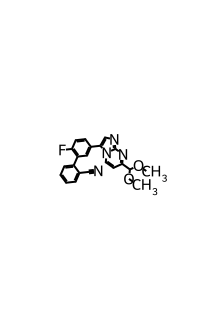 COC(OC)c1ccn2c(-c3ccc(F)c(-c4ccccc4C#N)c3)cnc2n1